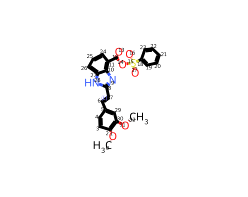 COc1ccc(/C=C/c2nc3c(C(=O)OS(=O)(=O)c4ccccc4)cccc3[nH]2)cc1OC